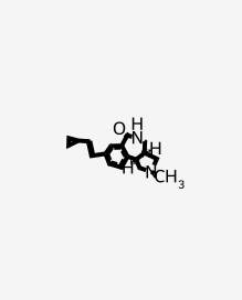 CN1C[C@@H]2CNC(=O)c3cc(C=CC4CC4)ccc3[C@H]2C1